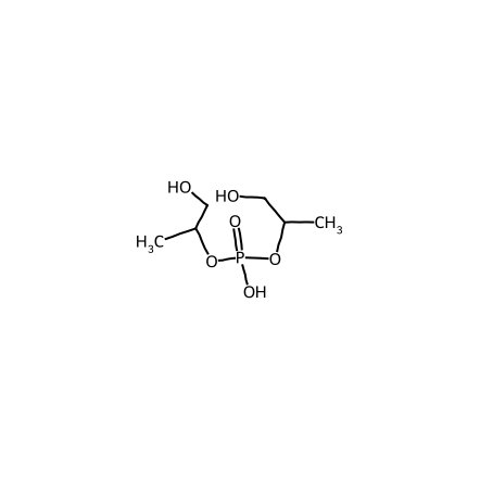 CC(CO)OP(=O)(O)OC(C)CO